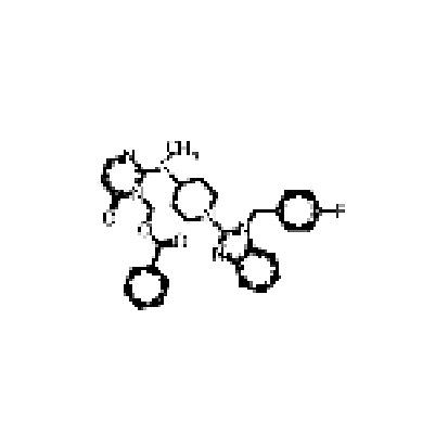 CN(c1nccc(=O)n1COC(=O)c1ccccc1)C1CCN(c2nc3ccccc3n2Cc2ccc(F)cc2)CC1